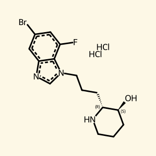 Cl.Cl.O[C@H]1CCCN[C@@H]1CCCn1cnc2cc(Br)cc(F)c21